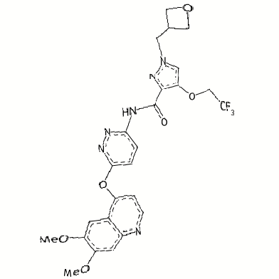 COc1cc2nccc(Oc3ccc(NC(=O)c4nn(CC5COC5)cc4OCC(F)(F)F)nn3)c2cc1OC